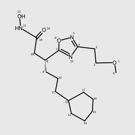 COCCc1noc([C@H](CCCC2CCCCC2)CC(=O)NO)n1